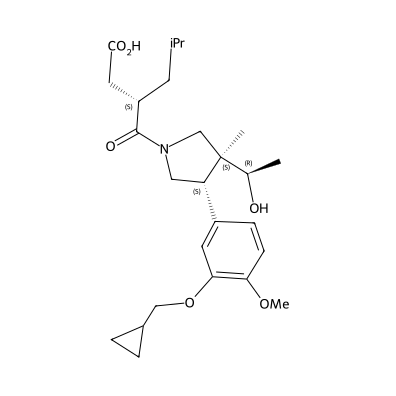 COc1ccc([C@@H]2CN(C(=O)[C@H](CC(=O)O)CC(C)C)C[C@@]2(C)[C@@H](C)O)cc1OCC1CC1